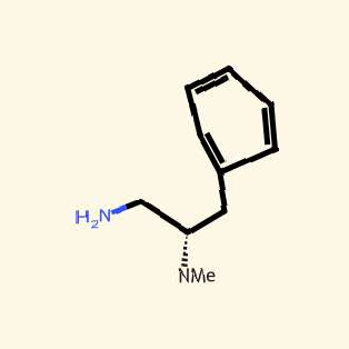 CN[C@H](CN)Cc1ccccc1